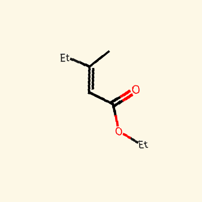 [CH2]COC(=O)C=C(C)CC